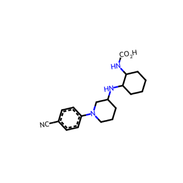 N#Cc1ccc(N2CCCC(NC3CCCCC3NC(=O)O)C2)cc1